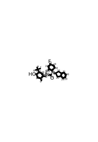 Cc1cc(O)c(C(C)(C)C)cc1CNC(=O)N(c1ccc(F)cc1F)C1Cc2ccccc2C1